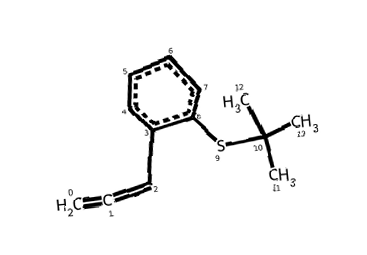 C=C=Cc1ccccc1SC(C)(C)C